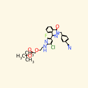 CC(C)(C)OC(=O)COCCNc1nc(F)c(-c2nn(Cc3ccc(C#N)cc3)c(=O)c3ccccc23)cc1Cl